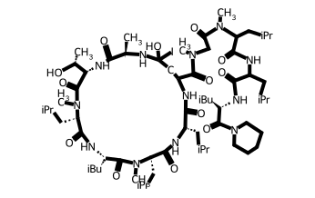 CC[C@H](C)[C@H](NC(=O)C(CC(C)C)NC(=O)C(CC(C)C)N(C)C(=O)CN(C)C(=O)C1CC(O)(I)N[C@H](C)C(=O)N[C@@H]([C@@H](C)O)C(=O)N(C)[C@@H](CC(C)C)C(=O)N[C@@H]([C@@H](C)CC)C(=O)N(C)[C@@H](CC(C)C)C(=O)N[C@@H](CC(C)C)C(=O)N1)C(=O)N1CCCCC1